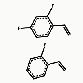 C=Cc1ccc(F)cc1F.C=Cc1ccccc1F